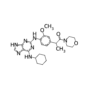 COc1cc(C(C)C(=O)N2CCOCC2)ccc1Nc1nc(NC2CCCCC2)c2nc[nH]c2n1